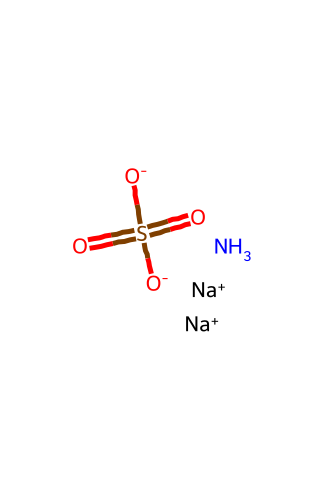 N.O=S(=O)([O-])[O-].[Na+].[Na+]